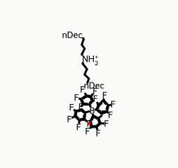 CCCCCCCCCCCCCC[NH2+]CCCCCCCCCCCCCC.Fc1cc([B-](c2cc(F)c(F)c(F)c2F)(c2cc(F)c(F)c(F)c2F)c2cc(F)c(F)c(F)c2F)c(F)c(F)c1F